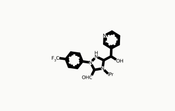 CC(C)N1C(C(O)c2cccnc2)NN(c2ccc(C(F)(F)F)cc2)C1C=O